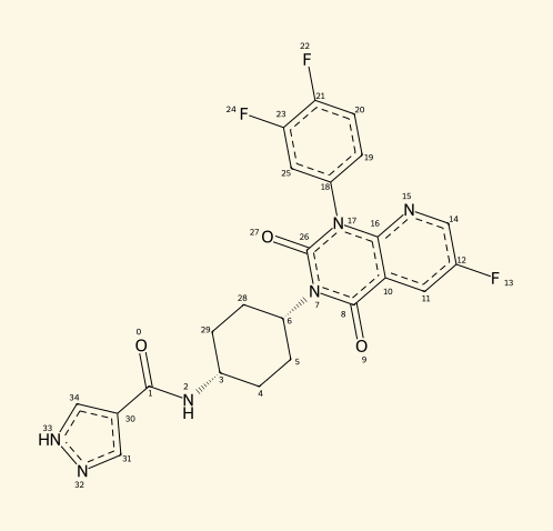 O=C(N[C@H]1CC[C@@H](n2c(=O)c3cc(F)cnc3n(-c3ccc(F)c(F)c3)c2=O)CC1)c1cn[nH]c1